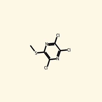 CSc1nc(Cl)c(Cl)nc1Cl